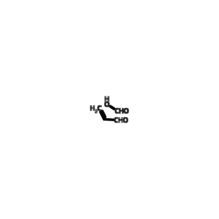 C=CC=O.O=CO